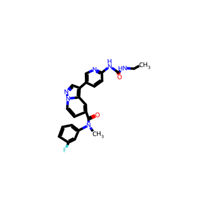 CCNC(=O)Nc1ccc(-c2cnn3ccc(C(=O)N(C)c4cccc(F)c4)cc23)cn1